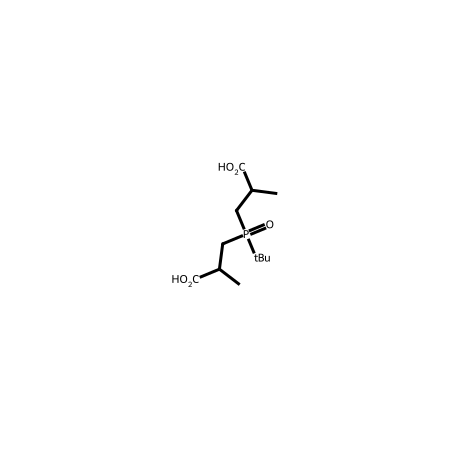 CC(CP(=O)(CC(C)C(=O)O)C(C)(C)C)C(=O)O